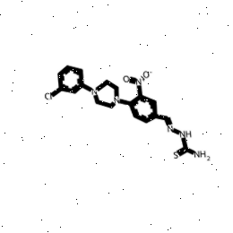 NC(=S)NN=Cc1ccc(N2CCN(c3cccc(Cl)c3)CC2)c([N+](=O)[O-])c1